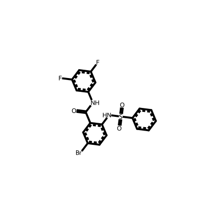 O=C(Nc1cc(F)cc(F)c1)c1cc(Br)ccc1NS(=O)(=O)c1ccccc1